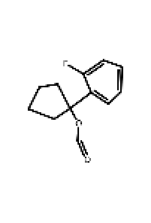 O=COC1(c2ccccc2F)CCCC1